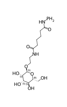 O=C(CCCCC(=O)NCCO[C@H]1O[C@H](CO)[C@@H](O)[C@H](O)[C@@H]1O)NP